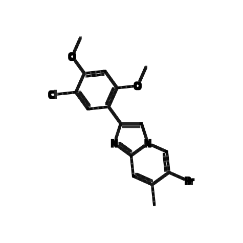 COc1cc(OC)c(-c2cn3cc(Br)c(C)cc3n2)cc1Cl